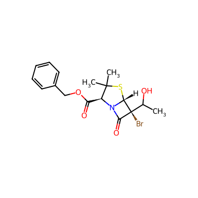 CC(O)[C@]1(Br)C(=O)N2[C@@H](C(=O)OCc3ccccc3)C(C)(C)S[C@@H]21